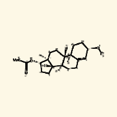 CCO[C@H]1C=C2CC[C@H]3[C@@H]4CC[C@H](OC(=O)OC)[C@@]4(C)CC[C@@H]3[C@@]2(C)CC1